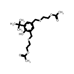 CC(=O)OCCSCc1cc(CSCCOC(C)=O)c(O)c(C(C)(C)C)c1